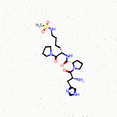 CS(=O)(=O)NCCCC[C@H](NC(=O)[C@@H]1CCCN1C(=O)[C@@H](N)Cc1c[nH]cn1)C(=O)N1CCCC1